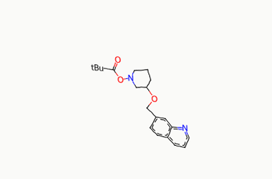 CC(C)(C)C(=O)ON1CCCC(OCc2ccc3cccnc3c2)C1